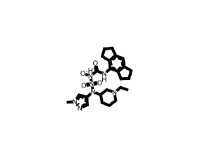 CCN1CCCC(N(c2cnn(C)c2)S(=O)(=O)[NH+]([O-])C(=O)Nc2c3c(cc4c2CCC4)CCC3)C1